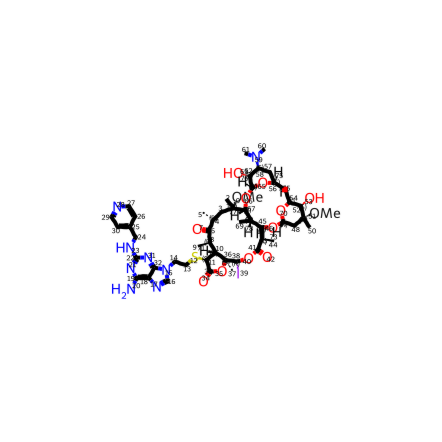 CO[C@]1(C)C[C@@H](C)C(=O)[C@H](C)[C@H]2[C@H](SCCn3cnc4c(N)nc(NCc5ccncc5)nc43)C(=O)O[C@]2(C)[C@@H](I)OC(=O)[C@H](C)[C@H]2O[C@H]3C[C@@](C)(OC)[C@@H](O)[C@H](C[C@@H]4C[C@H](N(C)C)[C@@H](O)[C@@H](O4)O[C@@H]1[C@H]2C)O3